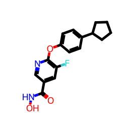 O=C(NO)c1cnc(Oc2ccc(C3CCCC3)cc2)c(F)c1